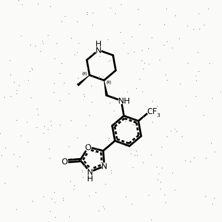 C[C@H]1CNCC[C@H]1CNc1cc(-c2n[nH]c(=O)o2)ccc1C(F)(F)F